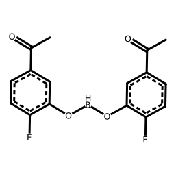 CC(=O)c1ccc(F)c(OBOc2cc(C(C)=O)ccc2F)c1